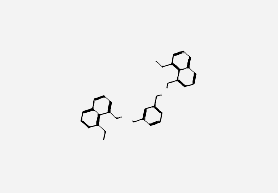 CCc1cccc2cccc(COCc3cccc(COCc4cccc5cccc(CC)c45)c3)c12